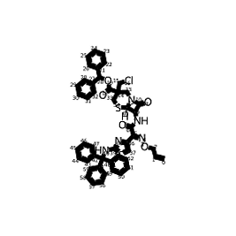 C=CCON=C(C(=O)NC1C(=O)N2CC(CCl)(C(=O)OC(c3ccccc3)c3ccccc3)CS[C@H]12)c1csc(NC(c2ccccc2)(c2ccccc2)c2ccccc2)n1